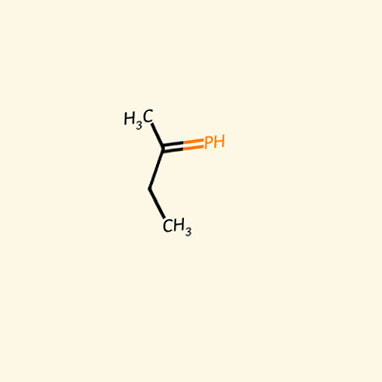 CCC(C)=P